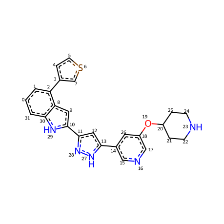 c1cc(-c2ccsc2)c2cc(-c3cc(-c4cncc(OC5CCNCC5)c4)[nH]n3)[nH]c2c1